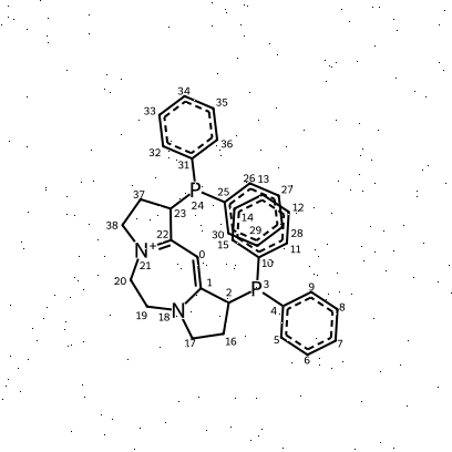 C1=C2C(P(c3ccccc3)c3ccccc3)CCN2CC[N+]2=C1C(P(c1ccccc1)c1ccccc1)CC2